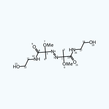 COC(C)(N=NC(C)(OC)C(=O)NCCO)C(=O)NCCO